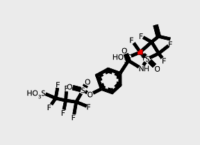 C=C(C)C(F)(C(F)(F)S(=O)(=O)O)C(F)(F)S(=O)(=O)NC(=O)c1ccc(OS(=O)(=O)C(F)(F)C(F)(F)C(F)(F)S(=O)(=O)O)cc1